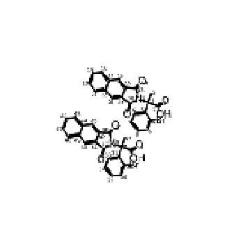 CC(C(=O)O)(c1ccccc1Br)N1C(=O)c2cc3ccccc3cc2C1=O.CC(C(=O)O)(c1ccccc1Br)N1C(=O)c2cc3ccccc3cc2C1=O